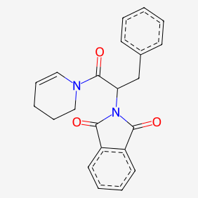 O=C(C(Cc1ccccc1)N1C(=O)c2ccccc2C1=O)N1C=CCCC1